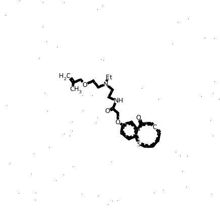 C=C(C)COCCN(CC)CCNC(=O)COc1ccc2sccccccc(=O)c2c1